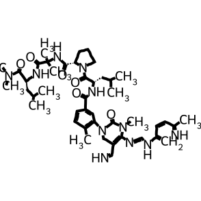 C=C(/C=C\C(C)=N)N/C=N/C1=C(C=N)CN(c2cc(C(=O)N[C@@H](CC(C)C)C(=O)N3CCC[C@H]3C(=O)NC(C)(C)C(=O)N[C@@H](CC(C)C)C(=O)N(C)C)ccc2C)C(=O)N1C